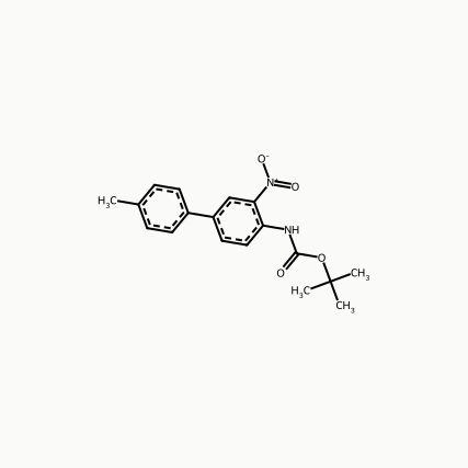 Cc1ccc(-c2ccc(NC(=O)OC(C)(C)C)c([N+](=O)[O-])c2)cc1